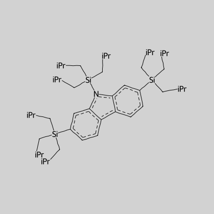 CC(C)C[Si](CC(C)C)(CC(C)C)c1ccc2c3ccc([Si](CC(C)C)(CC(C)C)CC(C)C)cc3n([Si](CC(C)C)(CC(C)C)CC(C)C)c2c1